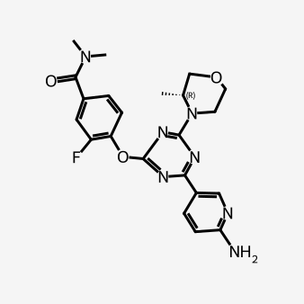 C[C@@H]1COCCN1c1nc(Oc2ccc(C(=O)N(C)C)cc2F)nc(-c2ccc(N)nc2)n1